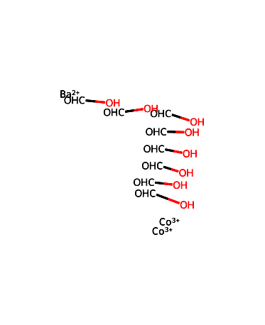 O=[C-]O.O=[C-]O.O=[C-]O.O=[C-]O.O=[C-]O.O=[C-]O.O=[C-]O.O=[C-]O.[Ba+2].[Co+3].[Co+3]